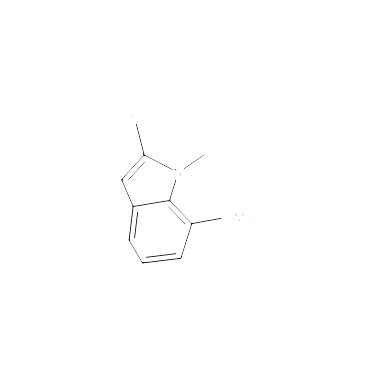 CCn1c(C=O)cc2cccc(OC)c21